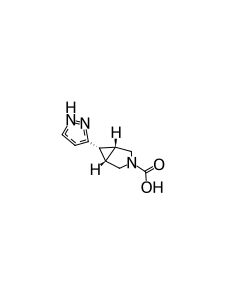 O=C(O)N1C[C@@H]2[C@H](C1)[C@@H]2c1cc[nH]n1